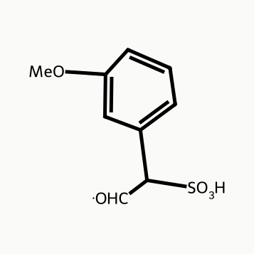 COc1cccc(C([C]=O)S(=O)(=O)O)c1